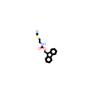 N#CSCCNC(=O)OCC1c2ccccc2-c2ccccc21